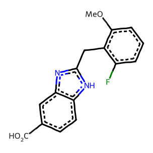 COc1cccc(F)c1Cc1nc2cc(C(=O)O)ccc2[nH]1